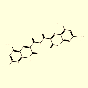 COc1cc(OC)c2cc(C(=O)CC(=O)c3cc4c(OC)cc(OC)cc4sc3=O)c(=O)sc2c1